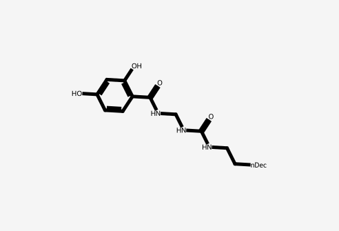 CCCCCCCCCCCCNC(=O)NCNC(=O)c1ccc(O)cc1O